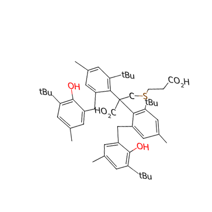 Cc1cc(Cc2cc(C)cc(C(C)(C)C)c2C(CSCCC(=O)O)(C(=O)O)c2c(Cc3cc(C)cc(C(C)(C)C)c3O)cc(C)cc2C(C)(C)C)c(O)c(C(C)(C)C)c1